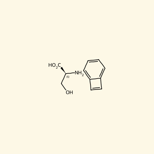 C1=Cc2ccccc21.N[C@@H](CO)C(=O)O